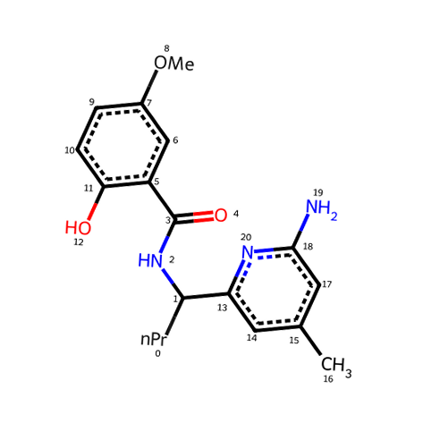 CCCC(NC(=O)c1cc(OC)ccc1O)c1cc(C)cc(N)n1